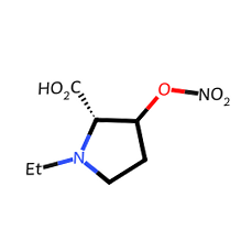 CCN1CCC(O[N+](=O)[O-])[C@H]1C(=O)O